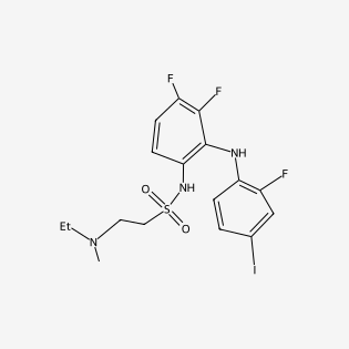 CCN(C)CCS(=O)(=O)Nc1ccc(F)c(F)c1Nc1ccc(I)cc1F